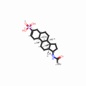 CC(C)(C)C(=O)NC1CC[C@H]2[C@@H]3CCC4CC(P(=O)(O)O)=CC[C@]4(C)[C@@H]3CC[C@]12C